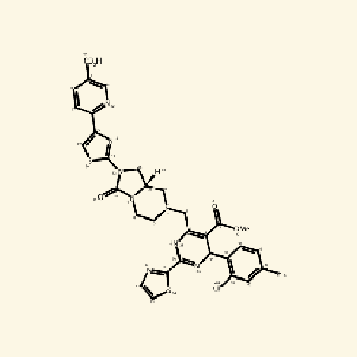 COC(=O)C1=C(CN2CCN3C(=O)N(c4nc(-c5ccc(C(=O)O)cn5)cs4)C[C@@H]3C2)NC(c2nccs2)=NC1c1ccc(F)cc1Cl